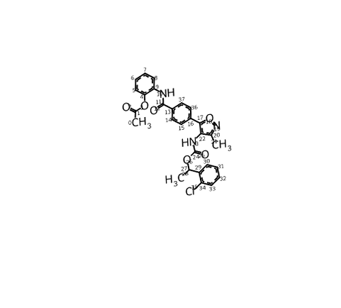 CC(=O)Oc1ccccc1NC(=O)c1ccc(-c2onc(C)c2NC(=O)OC(C)c2ccccc2Cl)cc1